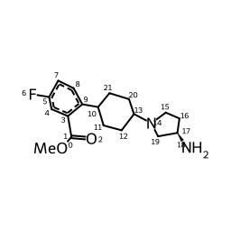 COC(=O)c1cc(F)ccc1C1CCC(N2CC[C@@H](N)C2)CC1